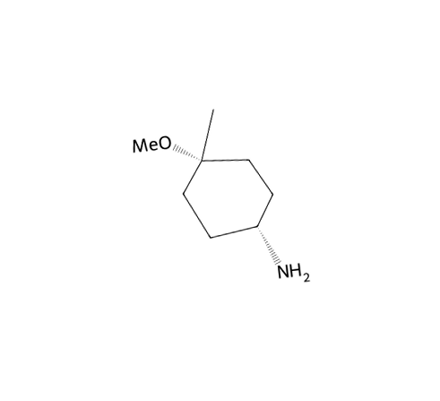 CO[C@]1(C)CC[C@H](N)CC1